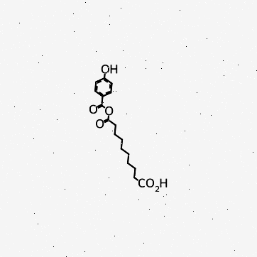 O=C(O)CCCCCCCCC(=O)OC(=O)c1ccc(O)cc1